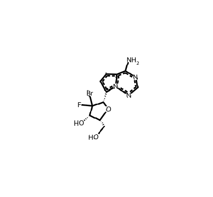 Nc1ncnn2c([C@@H]3O[C@H](CO)[C@H](O)C3(F)Br)ccc12